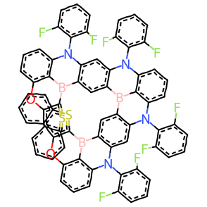 Fc1cccc(F)c1N1c2cc3c(cc2B2c4sc5ccccc5c4Oc4cccc1c42)B1c2cc4c(cc2N(c2c(F)cccc2F)c2cccc(c21)N3c1c(F)cccc1F)N(c1c(F)cccc1F)c1cccc2c1B4c1sc3ccccc3c1O2